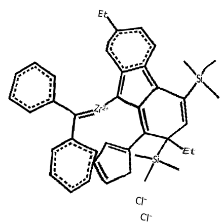 CCc1ccc2c(c1)=[C]([Zr+2]=[C](c1ccccc1)c1ccccc1)C1=C(C3=CC=CC3)C(CC)([Si](C)(C)C)C=C([Si](C)(C)C)C=21.[Cl-].[Cl-]